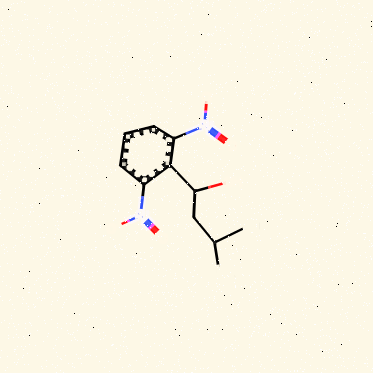 CC(C)CC(O)c1c([N+](=O)[O-])cccc1[N+](=O)[O-]